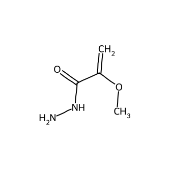 C=C(OC)C(=O)NN